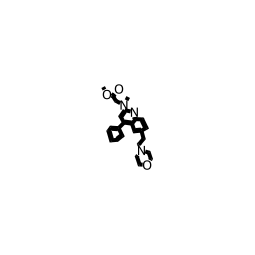 COC(=O)CN(C)c1cc(-c2ccccc2)c2cc(CCN3CCOCC3)ccc2n1